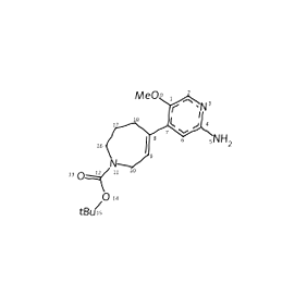 COc1cnc(N)cc1C1=CCN(C(=O)OC(C)(C)C)CCC1